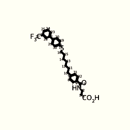 O=C(O)CCNC(=O)c1ccc(CCCCCCCSc2ccc(-c3cccc(C(F)(F)F)c3)cc2)cc1